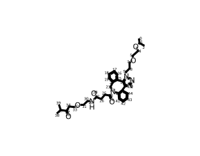 CC(C)OCCOCCCn1nnc2c1-c1ccccc1CN(C(=O)CCC(=O)NCCOCCC(=O)C(C)C)c1ccccc1-2